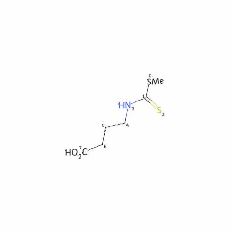 CSC(=S)NCCCC(=O)O